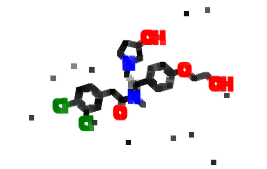 CN(C(=O)Cc1ccc(Cl)c(Cl)c1)[C@H](CN1CCC(O)C1)c1ccc(OCCO)cc1